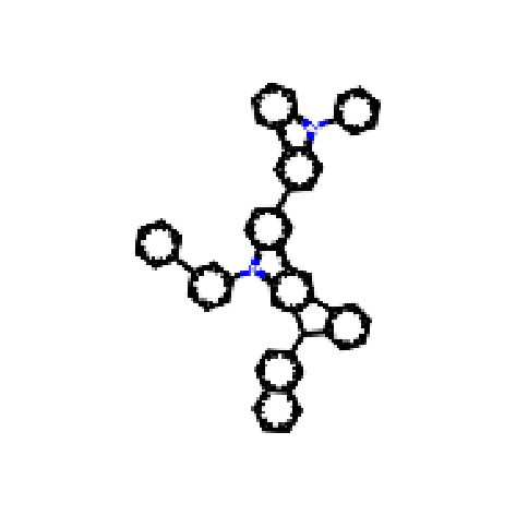 c1ccc(-c2cccc(-n3c4ccc(-c5ccc6c(c5)c5ccccc5n6-c5ccccc5)cc4c4cc5c(cc43)C(c3ccc4ccccc4c3)c3ccccc3-5)c2)cc1